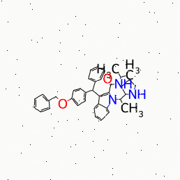 CC(C)NC(=O)c1c(C(c2ccccc2)c2ccc(OCc3ccccc3)cc2)c2ccccc2n1C(C)C1CCCN1